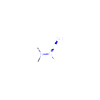 CC[N+](=C=N)N(C)C